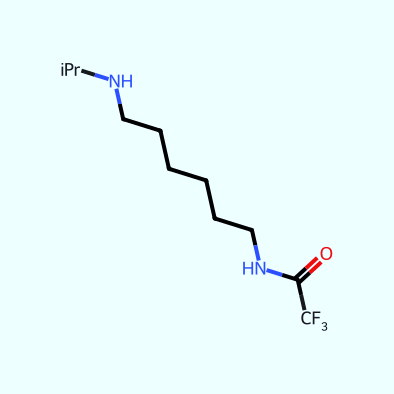 CC(C)NCCCCCCNC(=O)C(F)(F)F